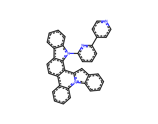 c1cc(-c2ccncc2)nc(-n2c3ccccc3c3ccc4c5ccccc5n5c6ccccc6cc5c4c32)c1